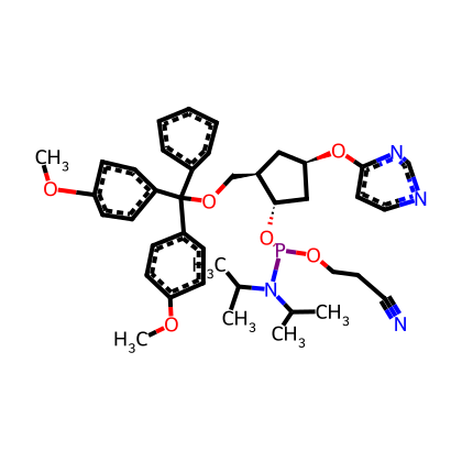 COc1ccc(C(OC[C@H]2C[C@@H](Oc3ccncn3)C[C@@H]2OP(OCCC#N)N(C(C)C)C(C)C)(c2ccccc2)c2ccc(OC)cc2)cc1